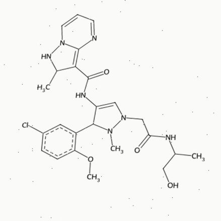 COc1ccc(Cl)cc1C1C(NC(=O)C2=C3N=CC=CN3NC2C)=CN(CC(=O)NC(C)CO)N1C